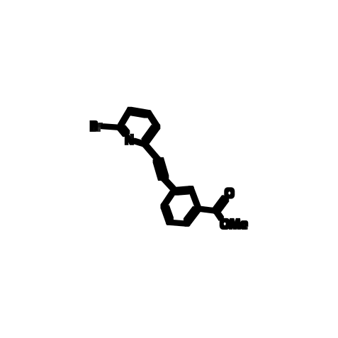 COC(=O)c1cccc(C#Cc2cccc(Br)n2)c1